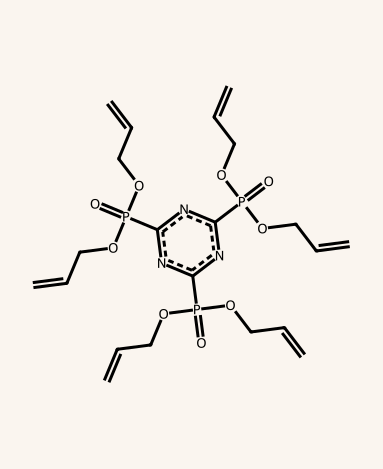 C=CCOP(=O)(OCC=C)c1nc(P(=O)(OCC=C)OCC=C)nc(P(=O)(OCC=C)OCC=C)n1